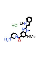 CCn1c(-c2nc3cc(C(=O)N4CCC[C@@H](N)C4)cc(NC)c3n2C)cc2ccccc21.Cl